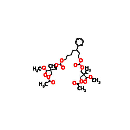 COC(=O)C(C)(COC(C)=O)COC(=O)OCCCCC(CCOC(=O)OCC(C)(COC(C)=O)C(=O)OC)c1ccccc1